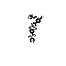 COc1cc(C(=O)NC2CCOCC2)ccc1Nc1ncc(-c2ccc(C#N)c(O[C@@H](C)Cn3cnnn3)c2)cn1